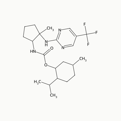 CC1CCC(C(C)C)C(OC(=O)NC2CCCC2(C)Nc2ncc(C(F)(F)F)cn2)C1